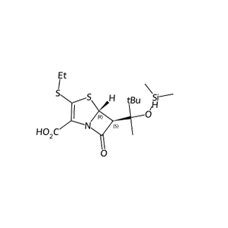 CCSC1=C(C(=O)O)N2C(=O)[C@H](C(C)(O[SiH](C)C)C(C)(C)C)[C@H]2S1